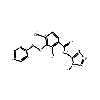 Cn1nnnc1NC(=O)c1ccc(Cl)c(OCc2ccccc2)c1Cl